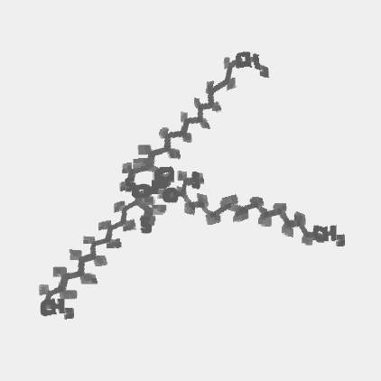 CCCCCCCCCCCCC(C=S)OP(OC(C=S)CCCCCCCCCCCC)OC(C=S)CCCCCCCCCCCC